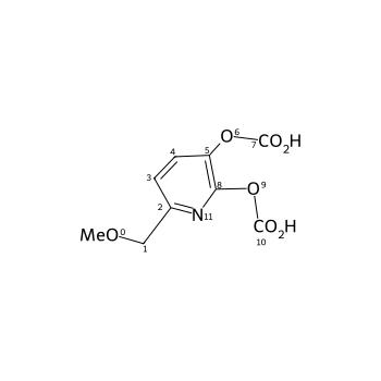 COCc1ccc(OC(=O)O)c(OC(=O)O)n1